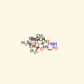 CC(C)(C)[Si](C)(C)OC[C@@]1(C)O[C@@H](n2ccc(=O)[nH]c2=O)[C@H](Cl)C1O[Si](C)(C)C(C)(C)C